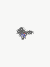 c1ccc(N(c2ccc(-c3ccc4ccccc4c3)cc2)c2cccc3c2-c2ccccc2C32c3ccccc3-c3ccccc32)cc1